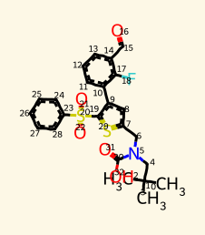 CC(C)(C)CN(Cc1cc(-c2cccc(C=O)c2F)c(S(=O)(=O)c2ccccc2)s1)C(=O)O